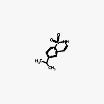 CC(C)c1ccc2c(c1)C=CNS2(=O)=O